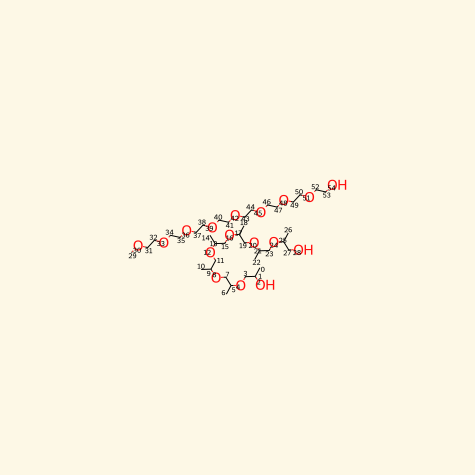 CC(O)COC(C)COC(C)COC(C)COC(C)COC(C)COC(C)CO.COCCOCCOCCOCCOCCOCCOCCOCCO